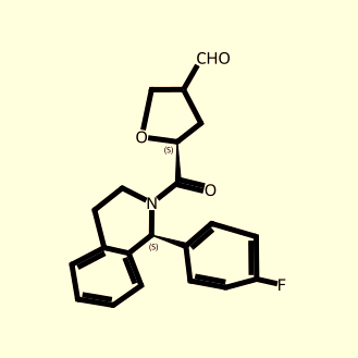 O=CC1CO[C@H](C(=O)N2CCc3ccccc3[C@@H]2c2ccc(F)cc2)C1